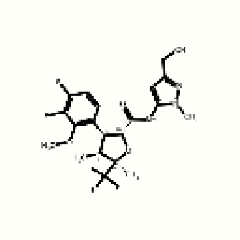 COc1c([C@H]2[C@H](C(=O)Nc3cc(CO)nn3C)O[C@@](C)(C(F)(F)F)[C@H]2C)ccc(F)c1F